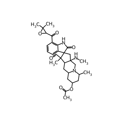 CNC12CN3C(C)CC(OC(C)=O)CC3CC1C(C)(C=O)C1(C2)C(=O)Nc2c(C(=O)C3OC3(C)C)cccc21